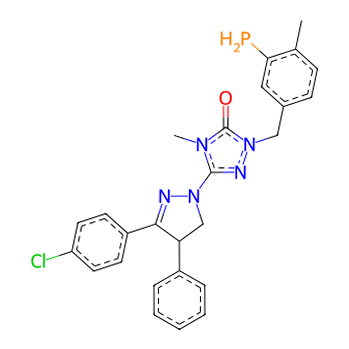 Cc1ccc(Cn2nc(N3CC(c4ccccc4)C(c4ccc(Cl)cc4)=N3)n(C)c2=O)cc1P